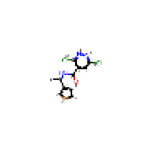 CC(NC(=O)c1cc(Cl)nnc1Cl)c1ccsc1